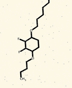 CCCCCCOC1CCC(OCCCC)C(F)C1F